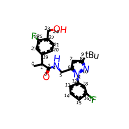 CC(C(=O)NCc1cc(C(C)(C)C)nn1-c1cccc(F)c1)c1ccc(CO)c(F)c1